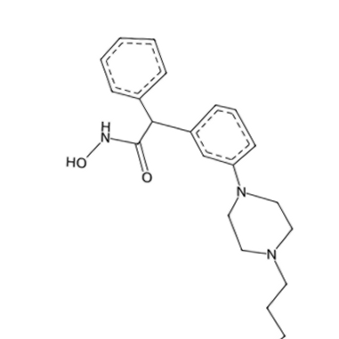 CCCCN1CCN(c2cccc(C(C(=O)NO)c3ccccc3)c2)CC1